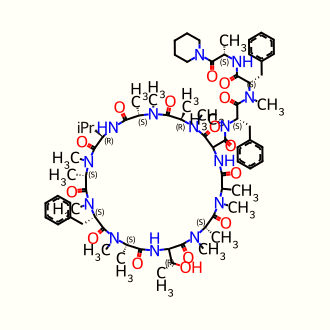 CC(C)[C@H]1NC(=O)[C@H](C)N(C)C(=O)[C@@H](C)N(C)C(=O)C(C(=O)N(C)[C@@H](Cc2ccccc2)C(=O)N(C)[C@@H](Cc2ccccc2)C(=O)N[C@@H](C)C(=O)N2CCCCC2)NC(=O)C(C)N(C)C(=O)[C@H](C)N(C)C(=O)C([C@@H](C)O)NC(=O)[C@H](C)N(C)C(=O)[C@H](Cc2ccccc2)N(C)C(=O)[C@H](C)N(C)C1=O